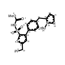 COC(=O)NS(=O)(=O)c1sc(CC(C)C)cc1-c1ccc(Cc2ccnn2C(C)(C)C)cc1